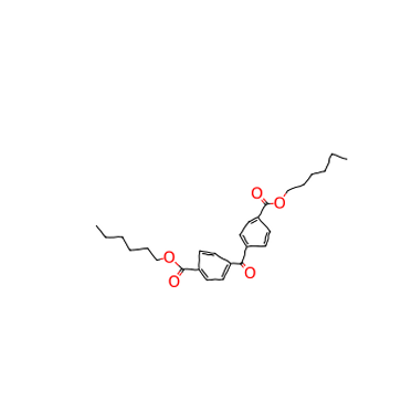 CCCCCCOC(=O)c1ccc(C(=O)c2ccc(C(=O)OCCCCCC)cc2)cc1